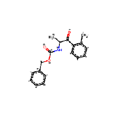 [CH2]c1ccccc1C(=O)C(C)NC(=O)OCc1ccccc1